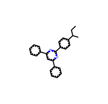 CCC(C)c1ccc(-c2nc(-c3ccccc3)cc(-c3ccccc3)n2)cc1